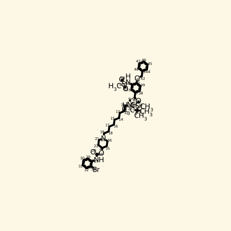 CC(C)(C)[Si](C)(C)O[C@H](CNCCCCCCCCCN1CCC(OC(=O)Nc2ccccc2Br)CC1)c1ccc(OCc2ccccc2)c(NS(C)(=O)=O)c1